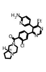 CCc1ncnc(-c2ccc(C(=O)N3CCN4CCC[C@@H]4C3)c(Cl)c2)c1-c1ccc(N)nc1